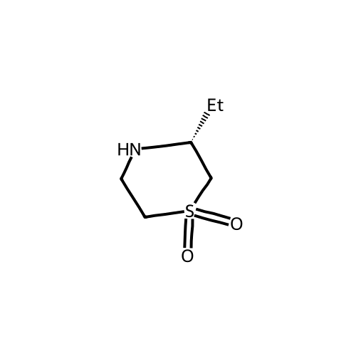 CC[C@@H]1CS(=O)(=O)CCN1